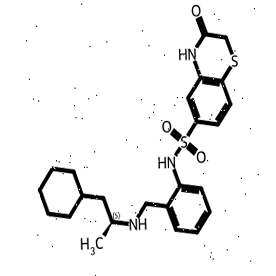 C[C@@H](CC1CCCCC1)NCc1ccccc1NS(=O)(=O)c1ccc2c(c1)NC(=O)CS2